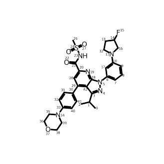 CC(C)c1nn(-c2cccc(N3CCC(F)C3)c2)c2nc(C(=O)NS(C)(=O)=O)cc(-c3ccc(N4CCOCC4)cc3)c12